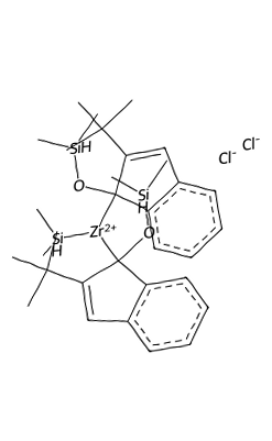 C[SiH](C)O[C]1([Zr+2]([SiH](C)C)[C]2(O[SiH](C)C)C(C(C)(C)C)=Cc3ccccc32)C(C(C)(C)C)=Cc2ccccc21.[Cl-].[Cl-]